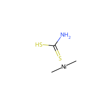 NC(=S)S.[CH3][Ni][CH3]